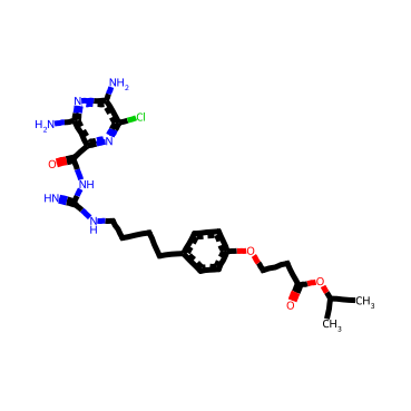 CC(C)OC(=O)CCOc1ccc(CCCCNC(=N)NC(=O)c2nc(Cl)c(N)nc2N)cc1